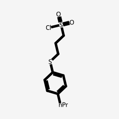 CCCc1ccc(SCCCS(=O)(=O)Cl)cc1